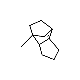 CC12CCC(=C3CCCC31)C2